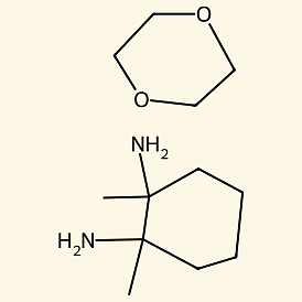 C1COCCO1.CC1(N)CCCCC1(C)N